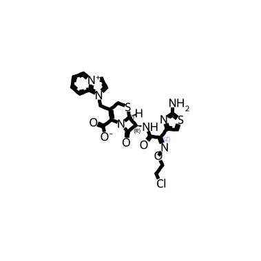 Nc1nc(/C(=N/OCCCl)C(=O)N[C@@H]2C(=O)N3C(C(=O)[O-])=C(Cn4cc[n+]5ccccc45)CS[C@@H]23)cs1